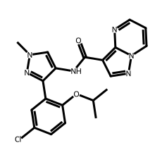 CC(C)Oc1ccc(Cl)cc1-c1nn(C)cc1NC(=O)c1cnn2cccnc12